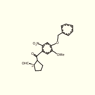 COc1cc(C(=O)C2CCC[C@H]2C=O)c([N+](=O)[O-])cc1OCc1ccccc1